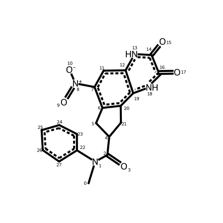 CN(C(=O)C1Cc2c([N+](=O)[O-])cc3[nH]c(=O)c(=O)[nH]c3c2C1)c1ccccc1